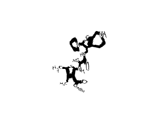 Cc1sc(NC(O)C(=O)NCc2c(-n3cccc3)sc3c2CCNC3)c(C(=O)OC(C)(C)C)c1C